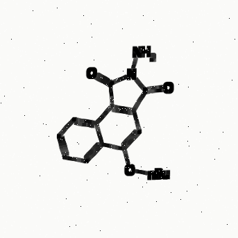 CCCCOc1cc2c(c3ccccc13)C(=O)N(N)C2=O